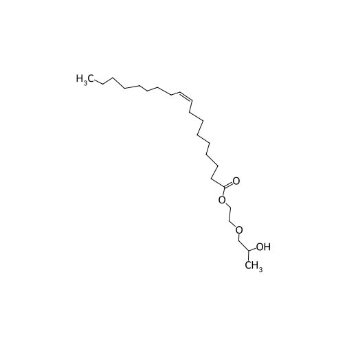 CCCCCCCC/C=C\CCCCCCCC(=O)OCCOCC(C)O